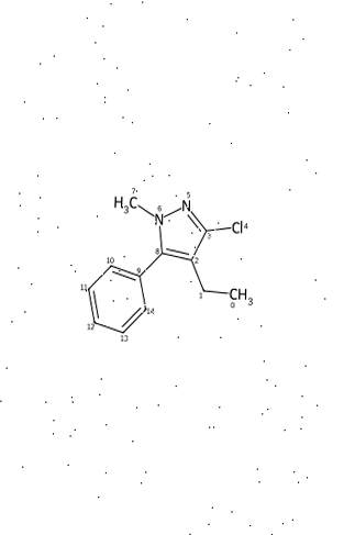 CCc1c(Cl)nn(C)c1-c1ccccc1